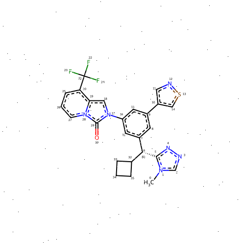 Cn1cnnc1[C@@H](c1cc(-c2cnsc2)cc(-n2cc3c(C(F)(F)F)cccn3c2=O)c1)C1CCC1